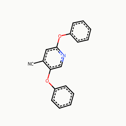 N#Cc1cc(Oc2ccccc2)ncc1Oc1ccccc1